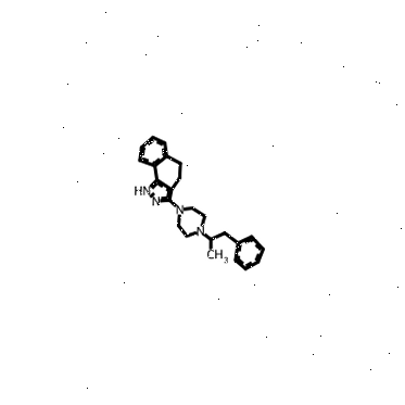 CC(Cc1ccccc1)N1CCN(c2n[nH]c3c2CCc2ccccc2-3)CC1